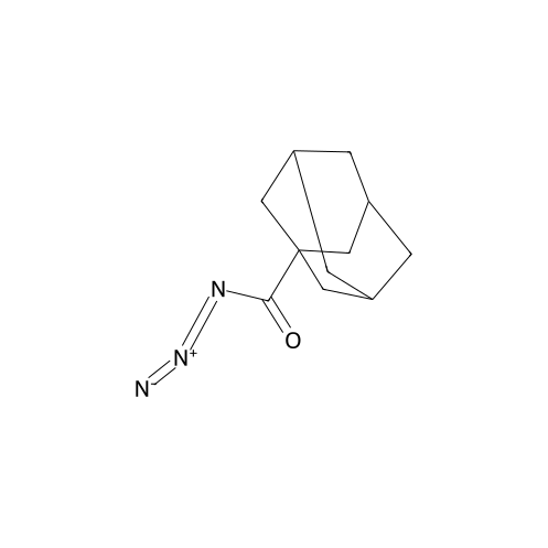 [N-]=[N+]=NC(=O)C12CC3CC(CC(C3)C1)C2